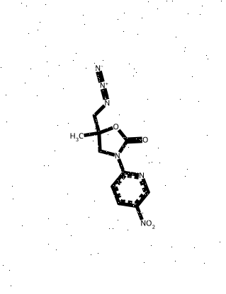 CC1(CN=[N+]=[N-])CN(c2ccc([N+](=O)[O-])cn2)C(=O)O1